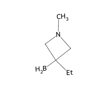 BC1(CC)CN(C)C1